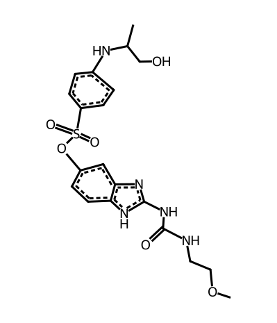 COCCNC(=O)Nc1nc2cc(OS(=O)(=O)c3ccc(NC(C)CO)cc3)ccc2[nH]1